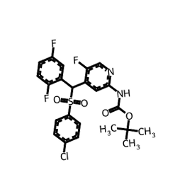 CC(C)(C)OC(=O)Nc1cc(C(c2cc(F)ccc2F)S(=O)(=O)c2ccc(Cl)cc2)c(F)cn1